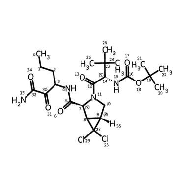 CCCC(NC(=O)[C@@H]1C2[C@H](CN1C(=O)[C@@H](NC(=O)OC(C)(C)C)C(C)(C)C)C2(Cl)Cl)C(=O)C(N)=O